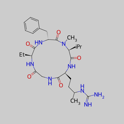 CC[C@@H]1NC(=O)CNC(=O)[C@H](CCC(C)NC(=N)N)NC(=O)[C@H](C(C)C)N(C)C(=O)[C@@H](Cc2ccccc2)NC1=O